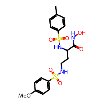 COc1ccc(S(=O)(=O)NCCC(NS(=O)(=O)c2ccc(C)cc2)C(=O)NO)cc1